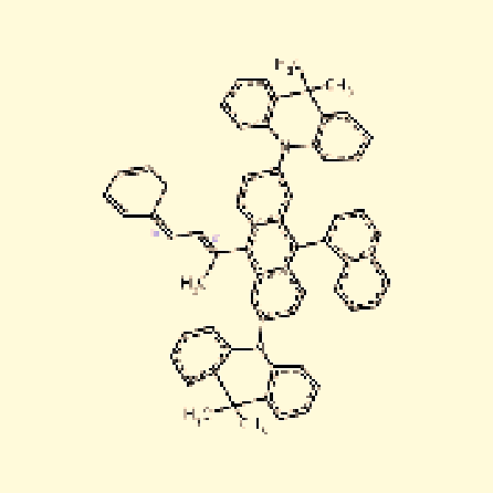 C/C(=C\C=C1\C=CC=CC1)c1c2cc(N3c4ccccc4C(C)(C)c4ccccc43)ccc2c(-c2cccc3ccccc23)c2cc(N3c4ccccc4C(C)(C)c4ccccc43)ccc12